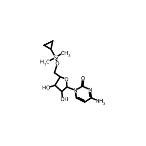 C[Si](C)(OCC1OC(n2ccc(N)nc2=O)C(O)C1O)C1CC1